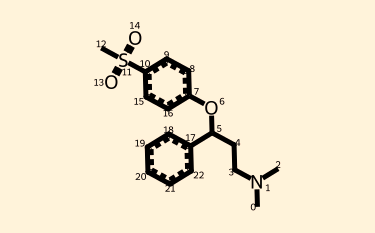 CN(C)CCC(Oc1ccc(S(C)(=O)=O)cc1)c1ccccc1